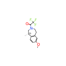 COc1ccc2c(c1)CCN(C(=O)C(F)(F)F)C[C@H]2C